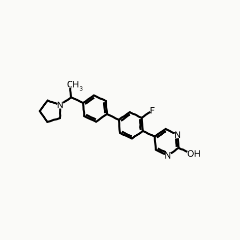 CC(c1ccc(-c2ccc(-c3cnc(O)nc3)c(F)c2)cc1)N1CCCC1